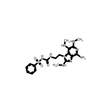 CNc1nc(N)c2nc(NC)n(CCNC(=O)NS(=O)(=O)c3ccccc3)c2c1NC